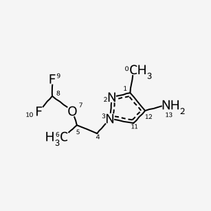 Cc1nn(CC(C)OC(F)F)cc1N